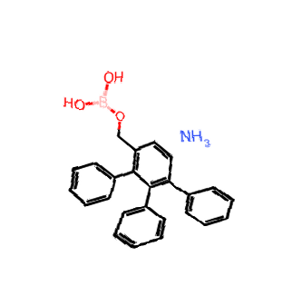 N.OB(O)OCc1ccc(-c2ccccc2)c(-c2ccccc2)c1-c1ccccc1